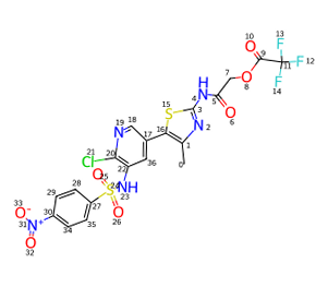 Cc1nc(NC(=O)COC(=O)C(F)(F)F)sc1-c1cnc(Cl)c(NS(=O)(=O)c2ccc([N+](=O)[O-])cc2)c1